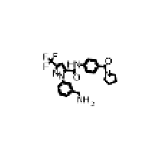 NCc1cccc(-n2nc(C(F)(F)F)cc2C(=O)Nc2ccc(C(=O)N3CCCC3)cc2)c1